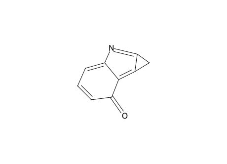 O=C1C=CC=C2N=C3CC3=C12